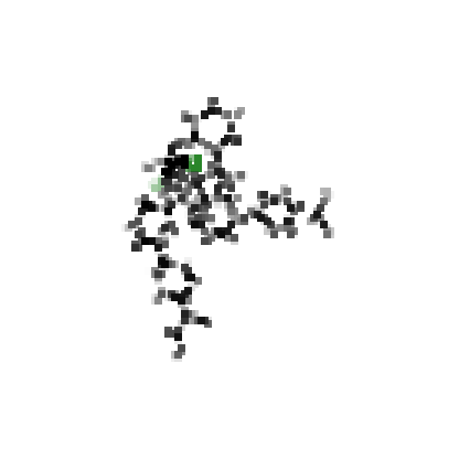 CCC1=Cc2c(-c3ccc(C(C)CC)cc3)cccc2[CH]1[Zr]([Cl])([Cl])([CH]1C(C2CCCCC2)=Cc2c(-c3ccc(C(C)C)cc3)cccc21)[SiH](C)C